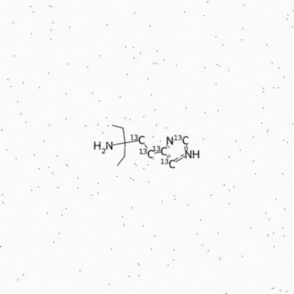 CCC(N)(CC)[13CH2][13CH2][13c]1[13cH][nH][13cH]n1